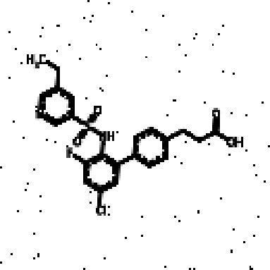 CCc1cncc(S(=O)(=O)Nc2c(F)cc(Cl)cc2-c2ccc(CCC(=O)O)cc2)c1